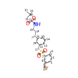 Cc1ccc(Br)cc1S(=O)(=O)Cc1cccc(CCCNC(=O)OC(C)(C)C)c1